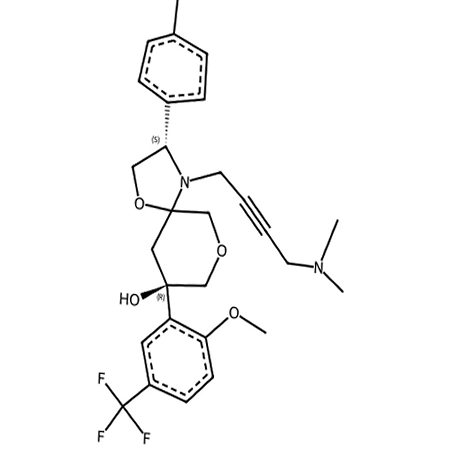 COc1ccc(C(F)(F)F)cc1[C@@]1(O)COCC2(C1)OC[C@H](c1ccc(F)cc1)N2CC#CCN(C)C